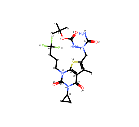 Cc1c(CN(NC(=O)OC(C)(C)C)C(N)=O)sc2c1c(=O)n(C1CC1)c(=O)n2CCCC(F)(F)F